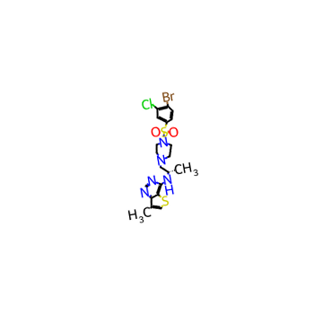 Cc1csc2c(N[C@@H](C)CN3CCN(S(=O)(=O)c4ccc(Br)c(Cl)c4)CC3)ncnc12